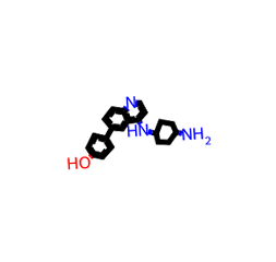 NC1CCC(Nc2ccnc3ccc(-c4ccc(O)cc4)cc23)CC1